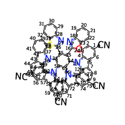 N#Cc1ccc2c(c1)c1ccccc1n2-c1c(-c2nc3ccccc3o2)c(-c2nc3ccccc3s2)c(-n2c3ccccc3c3cc(C#N)ccc32)c(-n2c3ccccc3c3cc(C#N)ccc32)c1-n1c2ccccc2c2cc(C#N)ccc21